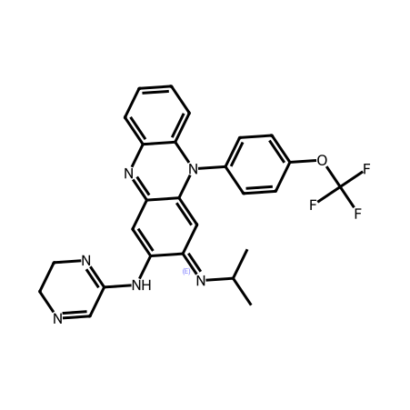 CC(C)/N=c1\cc2n(-c3ccc(OC(F)(F)F)cc3)c3ccccc3nc-2cc1NC1=NCCN=C1